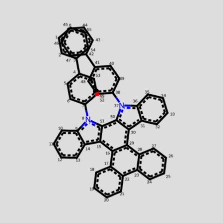 c1ccc(-c2ccc(-n3c4ccccc4c4c5c6ccccc6c6ccccc6c5c5c6ccccc6n(-c6ccc(-c7ccccc7)cc6)c5c43)cc2)cc1